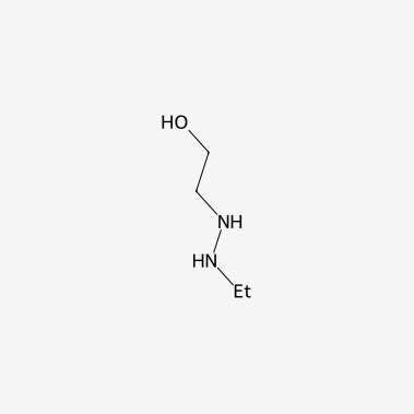 CCNNCCO